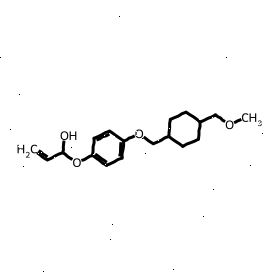 C=CC(O)Oc1ccc(OCC2CCC(COC)CC2)cc1